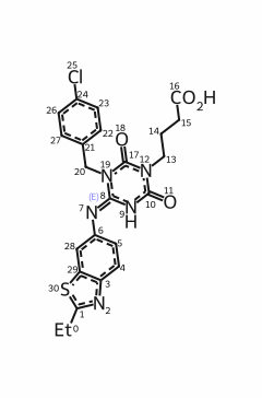 CCc1nc2ccc(/N=c3\[nH]c(=O)n(CCCC(=O)O)c(=O)n3Cc3ccc(Cl)cc3)cc2s1